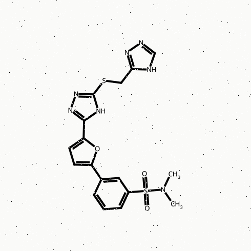 CN(C)S(=O)(=O)c1cccc(-c2ccc(-c3nnc(SCc4nnc[nH]4)[nH]3)o2)c1